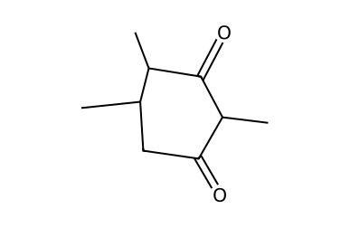 CC1C(=O)CC(C)C(C)C1=O